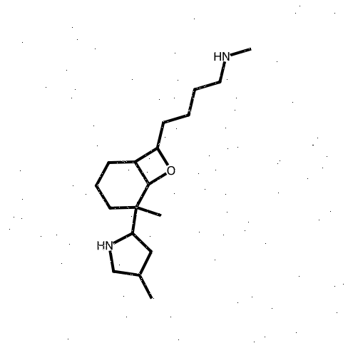 CNCCCCC1OC2C1CCCC2(C)C1CC(C)CN1